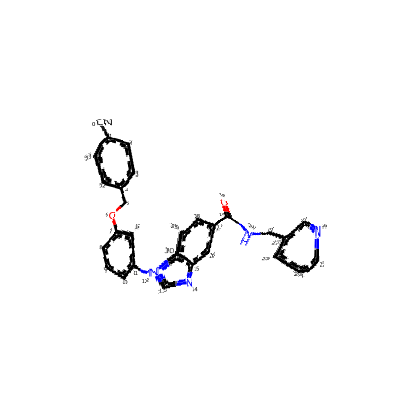 N#Cc1ccc(COc2cccc(-n3cnc4cc(C(=O)NCc5cccnc5)ccc43)c2)cc1